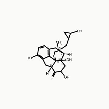 C[N@+]1(CC2CC2O)CC[C@]23c4c5ccc(O)c4C[C@H]2C(=O)C(O)C[C@@]3(O)[C@H]1C5